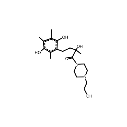 Cc1c(C)c(O)c(CCC(C)(O)C(=O)N2CCN(CCO)CC2)c(C)c1O